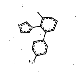 Cc1cccc(-c2ccc(N)cc2)c1-n1ccnc1